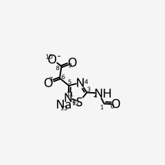 O=CNc1nc(C(=O)C(=O)[O-])ns1.[Na+]